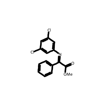 COC(=O)C(=Nc1cc(Cl)cc(Cl)c1)c1ccccc1